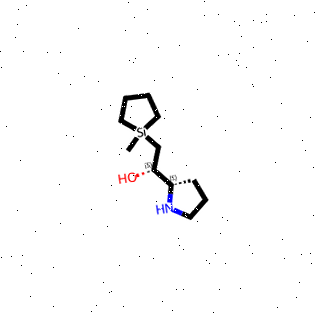 C[Si]1(C[C@@H](O)[C@@H]2CCCN2)CCCC1